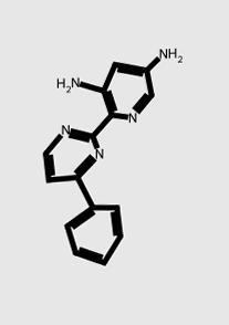 Nc1cnc(-c2nccc(-c3ccccc3)n2)c(N)c1